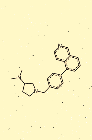 CN(C)C1CCN(Cc2ccc(-c3cccc4cnccc34)cc2)C1